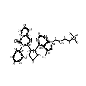 C[Si](C)(C)CCOCn1cc(I)c2c(N3CCCC3c3nc4cccn4c(=O)n3-c3ccccc3)ncnc21